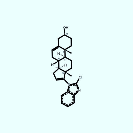 C[C@]12CC[C@H](O)CC1=CC[C@@H]1[C@@H]2CC[C@]2(C)C(n3c(Cl)nc4ccccc43)=CC[C@@H]12